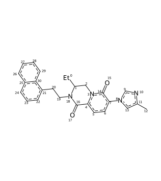 CCC1Cn2c(ccc(-n3cnc(C)c3)c2=O)C(=O)N1CCc1cccc2ccccc12